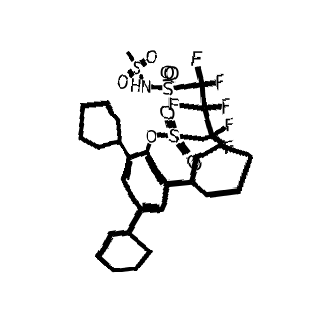 CS(=O)(=O)NS(=O)(=O)C(F)(F)C(F)(F)C(F)(F)S(=O)(=O)Oc1c(C2CCCCC2)cc(C2CCCCC2)cc1C1CCCCC1